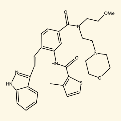 COCCN(CCN1CCOCC1)C(=O)c1ccc(/C=C/c2n[nH]c3ccccc23)c(NC(=O)c2sccc2C)c1